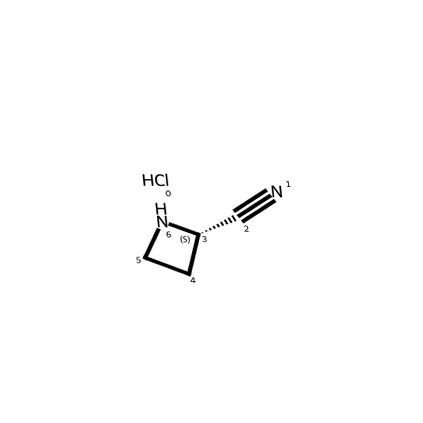 Cl.N#C[C@@H]1CCN1